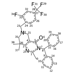 Cc1nc2c(c(=O)n1C(c1ccccc1)c1ccccc1)CN(Cc1ccc(C(F)(F)F)cc1F)CC2(C)C